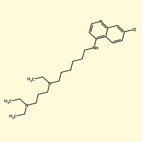 CCN(CC)CCCN(CC)CCCCCCNc1ccnc2cc(Cl)ccc12